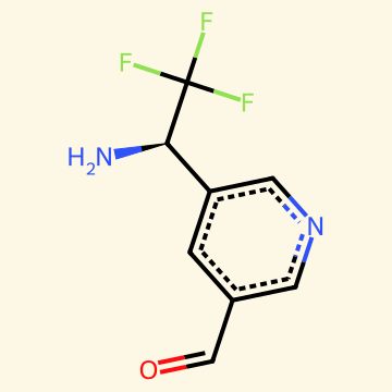 N[C@H](c1cncc(C=O)c1)C(F)(F)F